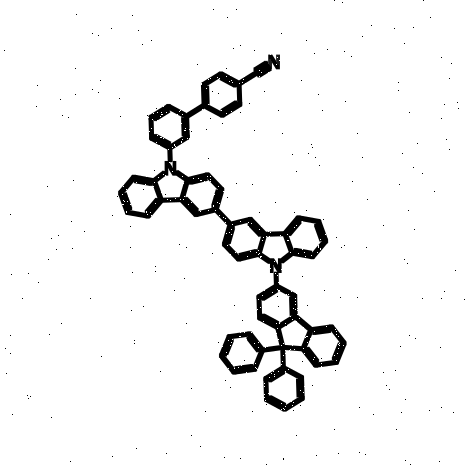 N#Cc1ccc(-c2cccc(-n3c4ccccc4c4cc(-c5ccc6c(c5)c5ccccc5n6-c5ccc6c(c5)-c5ccccc5C6(c5ccccc5)c5ccccc5)ccc43)c2)cc1